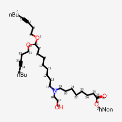 CCCCC#CCCOC(CCCCCCCCN(CCO)CCCCCCCC(=O)OCCCCCCCCC)OCCC#CCCCC